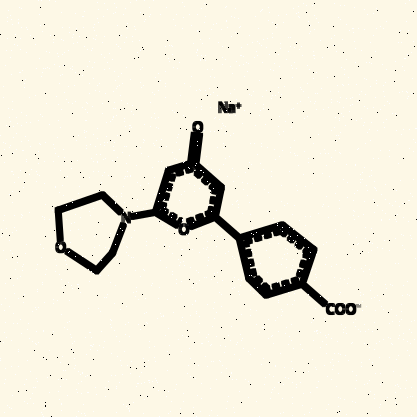 O=C([O-])c1ccc(-c2cc(=O)cc(N3CCOCC3)o2)cc1.[Na+]